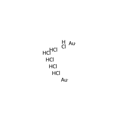 Cl.Cl.Cl.Cl.Cl.Cl.[Au].[Au]